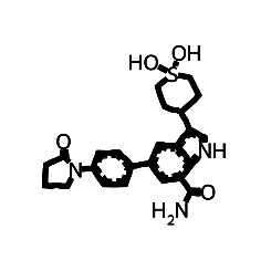 NC(=O)c1cc(-c2ccc(N3CCCC3=O)cc2)cc2c(C3CCS(O)(O)CC3)c[nH]c12